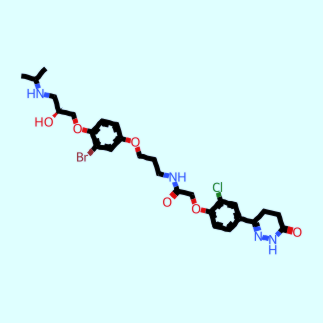 CC(C)NC[C@H](O)COc1ccc(OCCCNC(=O)COc2ccc(C3=NNC(=O)CC3)cc2Cl)cc1Br